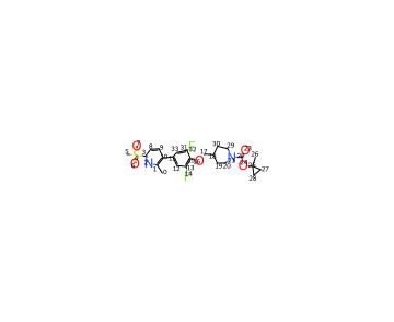 Cc1nc(S(C)(=O)=O)ccc1-c1cc(F)c(OCC2CCN(C(=O)OC3(C)CC3)CC2)c(F)c1